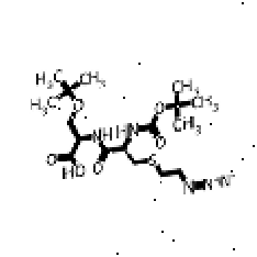 CC(C)(C)OCC(NC(=O)[C@H](CSCCN=[N+]=[N-])NC(=O)OC(C)(C)C)C(=O)O